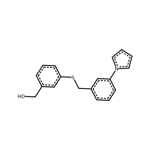 OCc1cccc(SCc2cccc(-n3cccc3)c2)c1